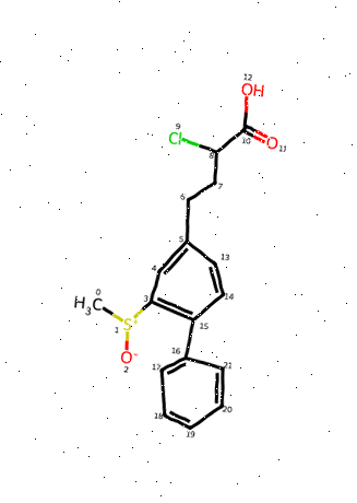 C[S+]([O-])c1cc(CCC(Cl)C(=O)O)ccc1-c1ccccc1